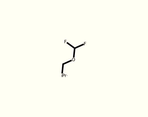 C[C](C)COC(F)F